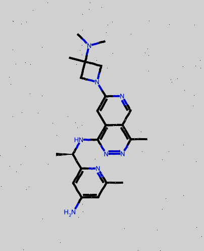 Cc1cc(N)cc([C@@H](C)Nc2nnc(C)c3cnc(N4CC(C)(N(C)C)C4)cc23)n1